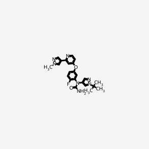 Cn1cc(-c2cc(Oc3ccc(F)c(N(C(N)=O)c4cnn(C(C)(C)C)c4)c3)ccn2)cn1